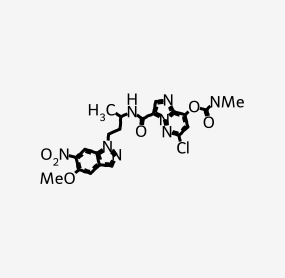 CNC(=O)Oc1cc(Cl)nn2c(C(=O)NC(C)CCn3ncc4cc(OC)c([N+](=O)[O-])cc43)cnc12